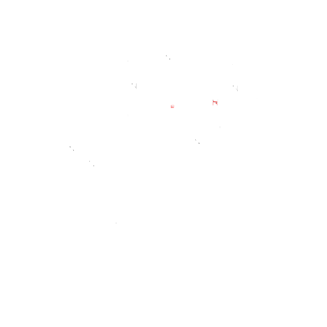 COc1ncc(C(=O)N2C3CC2CN(c2ccc(-c4cc(OCC(C)(C)O)cn5ncc(C#N)c45)cn2)C3)cc1Cl